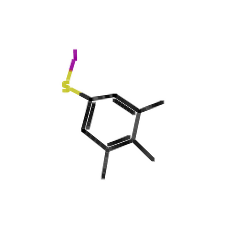 Cc1cc(SI)cc(C)c1C